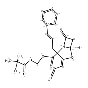 CC(C)(C)C(=O)OCOC(=O)C1(C/C=C/c2ccccc2)/C(=C\C=O)O[C@@H]2CC(=O)N21